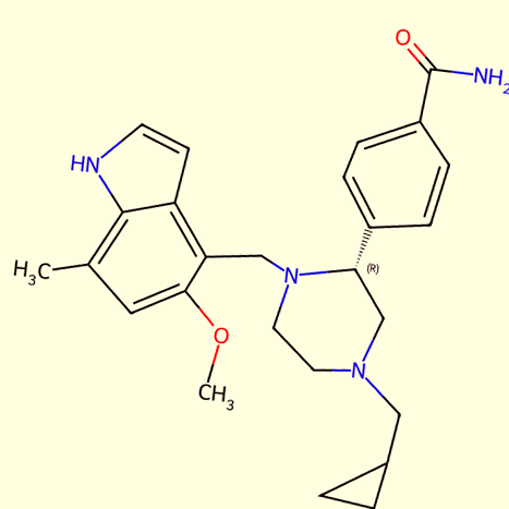 COc1cc(C)c2[nH]ccc2c1CN1CCN(CC2CC2)C[C@H]1c1ccc(C(N)=O)cc1